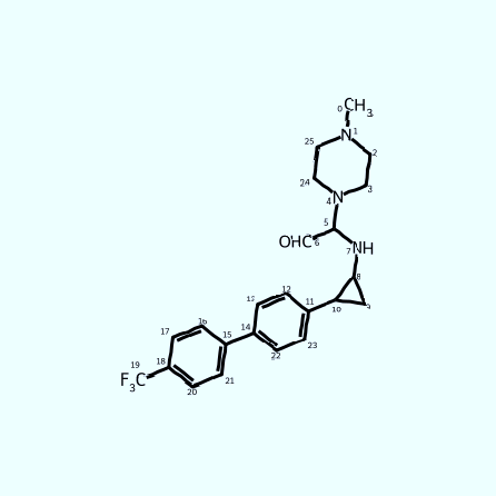 CN1CCN(C(C=O)NC2CC2c2ccc(-c3ccc(C(F)(F)F)cc3)cc2)CC1